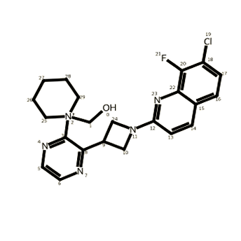 OC[N+]1(c2nccnc2C2CN(c3ccc4ccc(Cl)c(F)c4n3)C2)CCCCC1